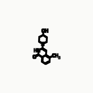 Cc1cccc2c(=O)[nH]c(N3CCC(O)CC3)cc12